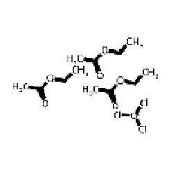 CCOC(C)=O.CCOC(C)=O.CCOC(C)=O.[Cl][Cr]([Cl])[Cl]